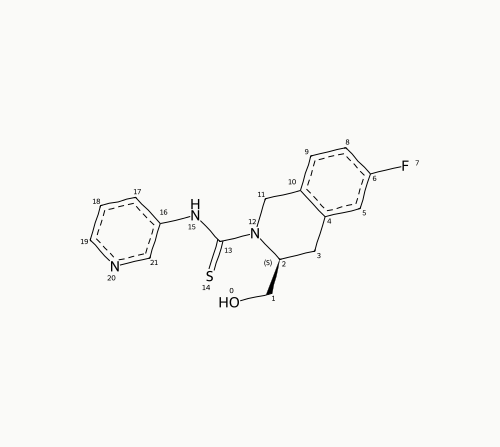 OC[C@@H]1Cc2cc(F)ccc2CN1C(=S)Nc1cccnc1